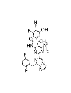 CC1(c2cc(O)c(C#N)c(F)c2)C(=O)Nc2nc(-c3cn4ccnc4c(Cc4cc(F)ccc4F)n3)nc(N)c21